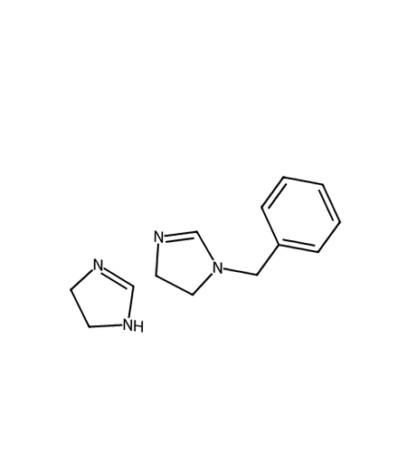 C1=NCCN1.C1=NCCN1Cc1ccccc1